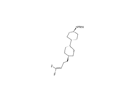 CCCCCC[C@H]1CC[C@H]([C@H]2CC[C@H](CCC=C(F)F)CC2)CC1